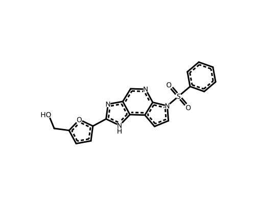 O=S(=O)(c1ccccc1)n1ccc2c3[nH]c(-c4ccc(CO)o4)nc3cnc21